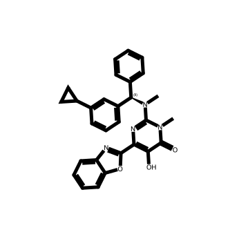 CN(c1nc(-c2nc3ccccc3o2)c(O)c(=O)n1C)[C@H](c1ccccc1)c1cccc(C2CC2)c1